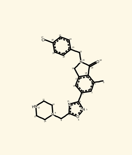 Cc1cc(-c2noc(CN3CCNCC3)n2)cc2c1C(=O)N(Cc1ccc(Cl)cc1)C2